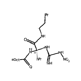 CCCCCCCCC(=O)N[C@](CCC)(NC(=N)N[N+](=O)[O-])C(=O)N[CH]CC(C)C